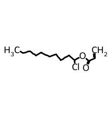 C=CC(=O)OC(Cl)CCCCCCCCC